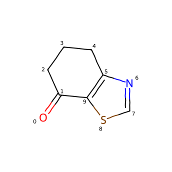 O=C1CCCc2ncsc21